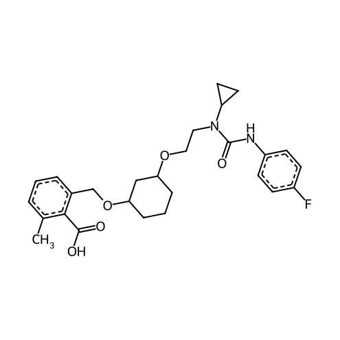 Cc1cccc(COC2CCCC(OCCN(C(=O)Nc3ccc(F)cc3)C3CC3)C2)c1C(=O)O